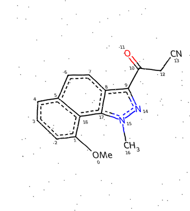 COc1cccc2ccc3c(C(=O)CC#N)nn(C)c3c12